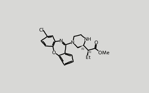 CC[C@H](C(=O)OC)[C@H]1CN(C2=Nc3cc(Cl)ccc3Oc3ccccc32)CCN1